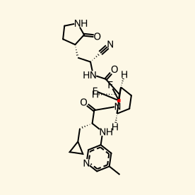 Cc1cncc(N[C@H](CC2CC2)C(=O)N2[C@@H]3CC[C@H]([C@@H]2C(=O)N[C@@H](C#N)C[C@@H]2CCNC2=O)C(F)(F)C3)c1